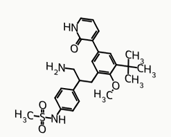 COc1c(CC(CN)c2ccc(NS(C)(=O)=O)cc2)cc(-c2ccc[nH]c2=O)cc1C(C)(C)C